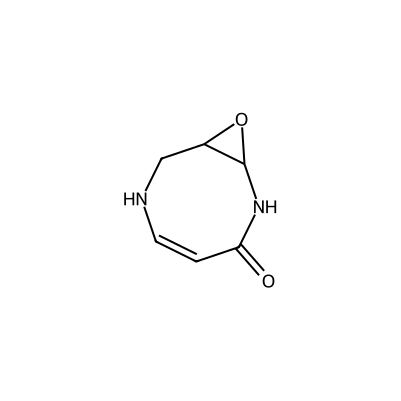 O=C1/C=C\NCC2OC2N1